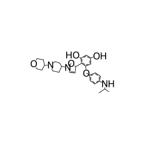 CC(C)Nc1ccc(Oc2cc(O)cc(O)c2C2C=CN(C3CCN(C4CCOCC4)CC3)O2)cc1